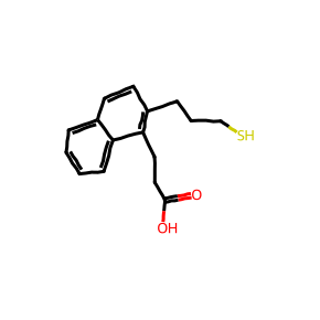 O=C(O)CCc1c(CCCS)ccc2ccccc12